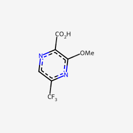 COc1nc(C(F)(F)F)cnc1C(=O)O